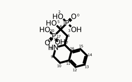 O=P(O)(O)C(O)(CC1NCCc2ccccc21)P(=O)(O)O